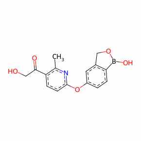 Cc1nc(Oc2ccc3c(c2)COB3O)ccc1C(=O)CO